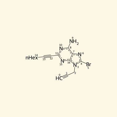 C#CCn1c(Br)nc2c(N)nc(C#CCCCCCC)nc21